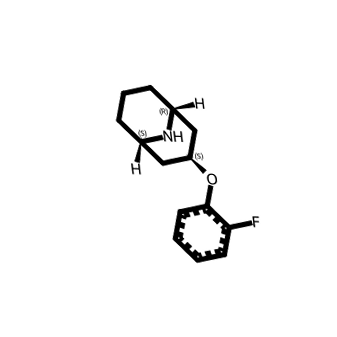 Fc1ccccc1O[C@@H]1C[C@H]2CCC[C@@H](C1)N2